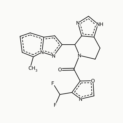 Cc1cccc2cc(C3c4nc[nH]c4CCN3C(=O)c3ocnc3C(F)F)nn12